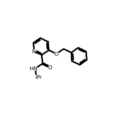 CC(C)NC(=O)c1ncccc1OCc1ccccc1